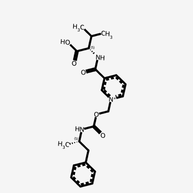 CC(C)[C@H](NC(=O)c1ccc[n+](COC(=O)N[C@@H](C)Cc2ccccc2)c1)C(=O)O